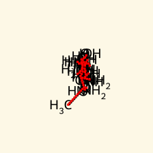 CCCCCCCCCCCCCCCCNC(=O)CN(CC(N)=O)C(=O)CCCCCNC(=O)C(Cc1c[nH]c2ccccc12)NC(=O)C(CCCNC(=N)N)NC(=O)C(CS)NC(=O)C(CCCNC(=N)N)NC(=O)CC1CCCN1C(=O)C(NC(=O)C(Cc1c[nH]cn1)NC(=O)C(NC(=O)CNCC(=O)O)C(C)O)C(c1ccccc1)c1ccccc1